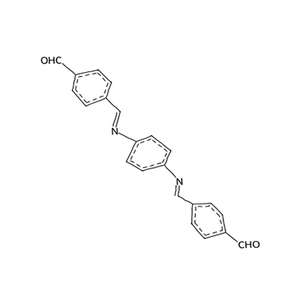 O=Cc1ccc(C=Nc2ccc(/N=C/c3ccc(C=O)cc3)cc2)cc1